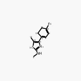 CNc1nc(C2=CC=C(F)CC2)c(C)s1